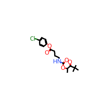 CC(OC(=O)NCCCC(=O)Oc1ccc(Cl)cc1)C(=O)C(C)(C)C